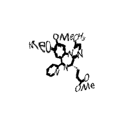 COC(=O)CC[C@@H]1N=C(c2ccccn2)c2cc(OC)c(OC)cc2-n2c(C)cnc21